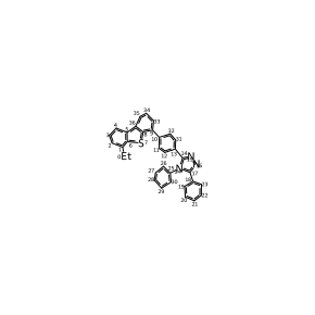 CCc1cccc2c1sc1c(-c3ccc(-c4nnc(-c5ccccc5)n4-c4ccccc4)cc3)cccc12